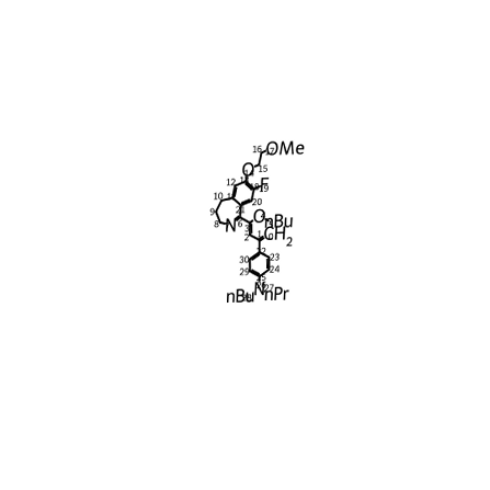 C=C(/C=C(\OCCCC)C1=NCCCc2cc(OCCOC)c(F)cc21)c1ccc(N(CCC)CCCC)cc1